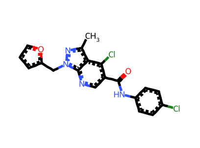 Cc1nn(Cc2ccco2)c2ncc(C(=O)Nc3ccc(Cl)cc3)c(Cl)c12